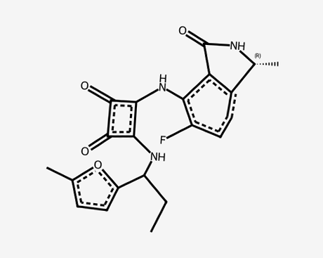 CCC(Nc1c(Nc2c(F)ccc3c2C(=O)N[C@@H]3C)c(=O)c1=O)c1ccc(C)o1